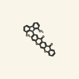 Cc1cccc2c3cccc(C)c3n(-c3ccc4oc5cc6oc7ccccc7c(=O)c6cc5c(=O)c4c3)c12